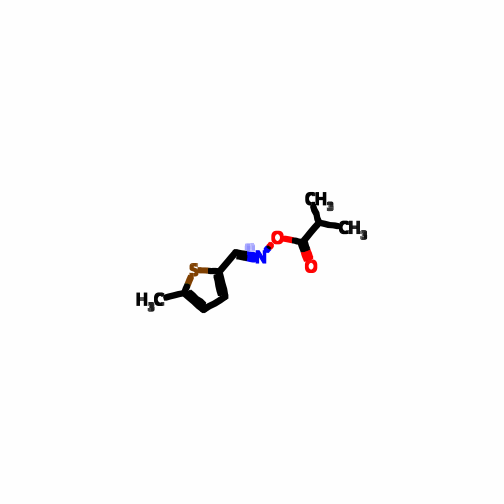 Cc1ccc(/C=N/OC(=O)C(C)C)s1